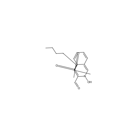 CCCCC1C(=O)CC2=C(C=O)N(O)C=C3C=CC=CC32C1=O